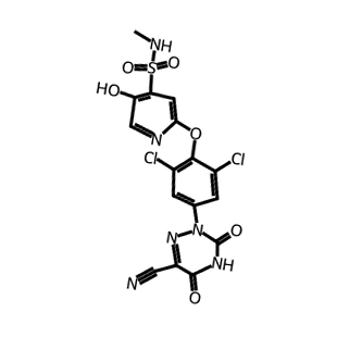 CNS(=O)(=O)c1cc(Oc2c(Cl)cc(-n3nc(C#N)c(=O)[nH]c3=O)cc2Cl)ncc1O